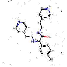 CCc1ccc(C(NCCc2ccncc2)C(=O)NCCc2ccncc2)cc1